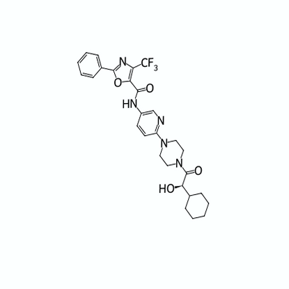 O=C(Nc1ccc(N2CCN(C(=O)[C@H](O)C3CCCCC3)CC2)nc1)c1oc(-c2ccccc2)nc1C(F)(F)F